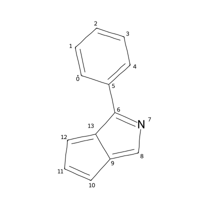 [c]1ccccc1C1=NC=C2C=CC=C21